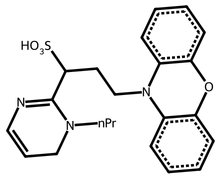 CCCN1CC=CN=C1C(CCN1c2ccccc2Oc2ccccc21)S(=O)(=O)O